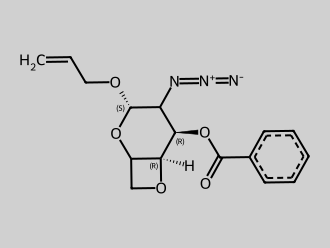 C=CCO[C@H]1OC2CO[C@@H]2[C@H](OC(=O)c2ccccc2)C1N=[N+]=[N-]